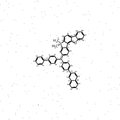 CS1(C)c2cc(N(c3ccc(-c4ccccc4)cc3)c3ccc(-c4ccc5ccccc5c4)cc3)ccc2-c2c1ccc1c2oc2ccccc21